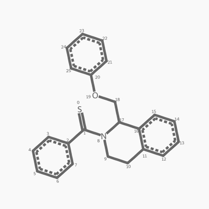 S=C(c1ccccc1)N1CCc2ccccc2C1COc1ccccc1